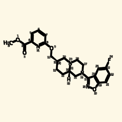 COC(=O)c1cccc(OC[C@@H]2CC[C@H]3CN(c4noc5ccc(F)cc45)CCN3C2)n1